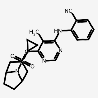 Cc1c(Nc2ccccc2C#N)ncnc1OC1CC2CCC(C1)N2S(=O)(=O)C1CC1